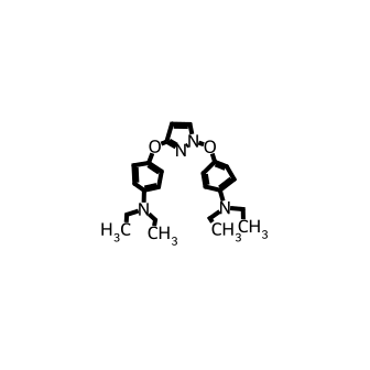 CCN(CC)c1ccc(Oc2ccn(Oc3ccc(N(CC)CC)cc3)n2)cc1